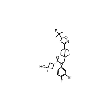 CC(C)(F)c1nc(C23CCC(CN(c4ccc(F)c(Br)c4)C(=O)[C@H]4C[C@@](C)(O)C4)(CC2)CC3)no1